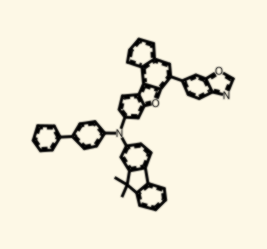 CC1(C)c2ccccc2-c2ccc(N(c3ccc(-c4ccccc4)cc3)c3ccc4c(c3)oc3c(-c5ccc6ncoc6c5)cc5ccccc5c34)cc21